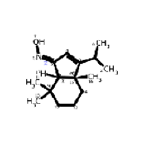 CC(C)C1=C/C(=N\O)[C@H]2C(C)(C)CCC[C@@]12C